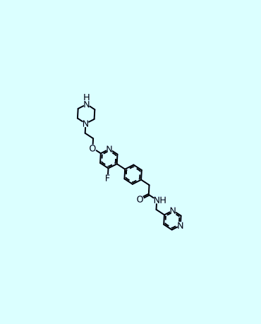 O=C(Cc1ccc(-c2cnc(OCCN3CCNCC3)cc2F)cc1)NCc1ccncn1